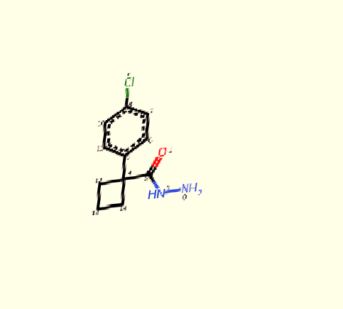 NNC(=O)C1(c2ccc(Cl)cc2)CCC1